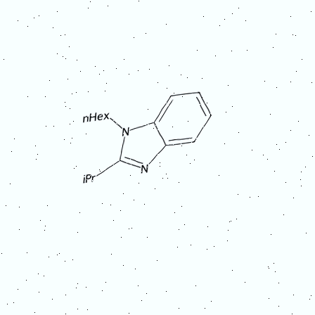 CCCCCCn1c(C(C)C)nc2ccccc21